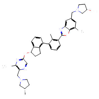 COc1nc(O[C@@H]2CCc3c(-c4cccc(-c5nc6cc(CN7CC[C@@H](O)C7)cc(C#N)c6o5)c4C)cccc32)cnc1CN1CC[C@@H](C)C1